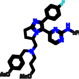 CCCNc1nccc(-c2c(-c3ccc(F)cc3)nc3n2C(CN(CCCOC)Cc2ccc(OC)cc2)CC3)n1